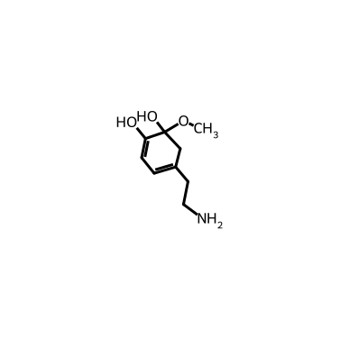 COC1(O)CC(CCN)=CC=C1O